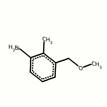 COCc1ccc[c]([BiH2])c1C